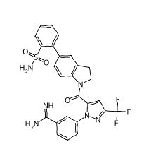 N=C(N)c1cccc(-n2nc(C(F)(F)F)cc2C(=O)N2CCc3cc(-c4ccccc4S(N)(=O)=O)ccc32)c1